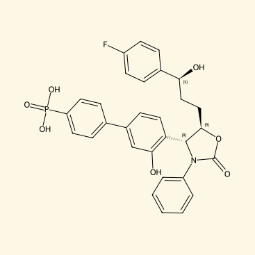 O=C1O[C@H](CC[C@H](O)c2ccc(F)cc2)[C@@H](c2ccc(-c3ccc(P(=O)(O)O)cc3)cc2O)N1c1ccccc1